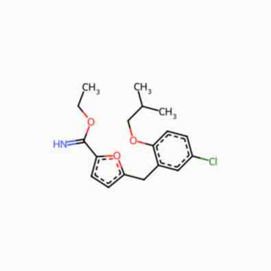 CCOC(=N)c1ccc(Cc2cc(Cl)ccc2OCC(C)C)o1